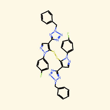 Fc1ccc(-n2ncc(-c3nnn(Cc4ccccc4)n3)c2SSc2c(-c3nnn(Cc4ccccc4)n3)cnn2-c2ccc(F)cc2)cc1